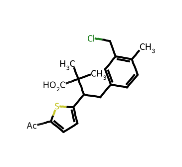 CC(=O)c1ccc(C(Cc2ccc(C)c(CCl)c2)C(C)(C)C(=O)O)s1